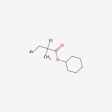 CCC(C)(CC(C)C)C(=O)OC1CCCCC1